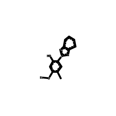 CCOc1cc(O)c(-n2nc3ccccc3n2)cc1C